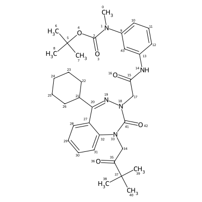 CN(C(=O)OC(C)(C)C)c1cccc(NC(=O)CN2N=C(C3CCCCC3)c3ccccc3N(CC(=O)C(C)(C)C)C2=O)c1